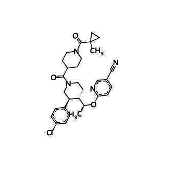 C[C@H](Oc1ccc(C#N)cn1)[C@H]1CCN(C(=O)C2CCN(C(=O)C3(C)CC3)CC2)C[C@@H]1c1ccc(Cl)cc1